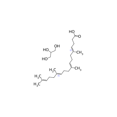 CC(C)=CCC/C(C)=C/CCC(C)=CCC/C(C)=C/CCC(=O)O.OCC(O)CO